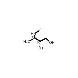 C[C@@H](NCl)[C@@H](O)CO